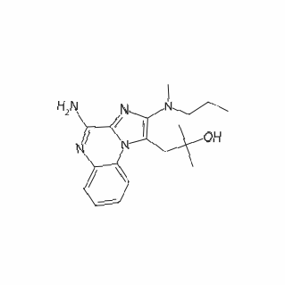 CCCN(C)c1nc2c(N)nc3ccccc3n2c1CC(C)(C)O